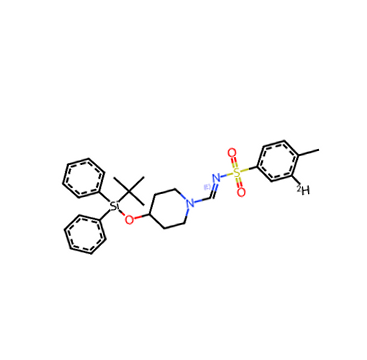 [2H]c1cc(S(=O)(=O)/N=C/N2CCC(O[Si](c3ccccc3)(c3ccccc3)C(C)(C)C)CC2)ccc1C